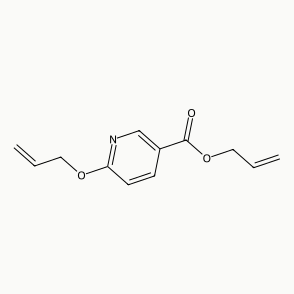 C=CCOC(=O)c1ccc(OCC=C)nc1